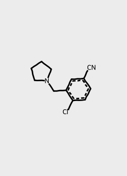 N#Cc1ccc(Cl)c(CN2CCCC2)c1